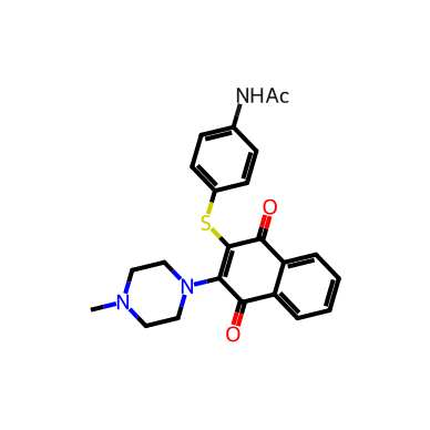 CC(=O)Nc1ccc(SC2=C(N3CCN(C)CC3)C(=O)c3ccccc3C2=O)cc1